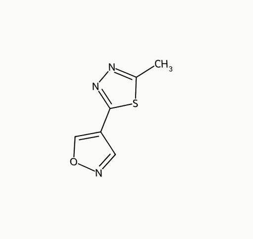 Cc1nnc(-c2cnoc2)s1